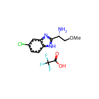 COC[C@@H](N)c1nc2cc(Cl)ccc2[nH]1.O=C(O)C(F)(F)F